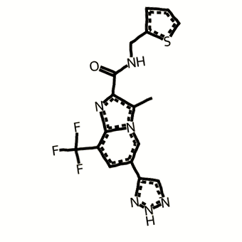 Cc1c(C(=O)NCc2cccs2)nc2c(C(F)(F)F)cc(-c3cn[nH]n3)cn12